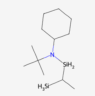 CC([SiH3])[SiH2]N(C1CCCCC1)C(C)(C)C